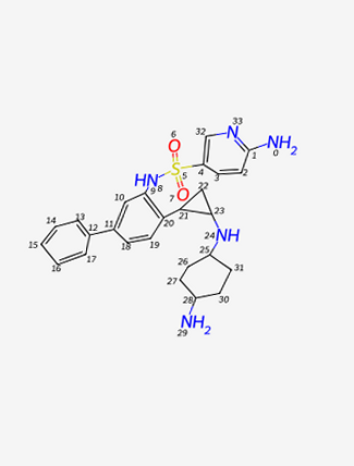 Nc1ccc(S(=O)(=O)Nc2cc(-c3ccccc3)ccc2C2CC2NC2CCC(N)CC2)cn1